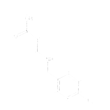 O=C(O)CCNCc1ccc(I)cc1